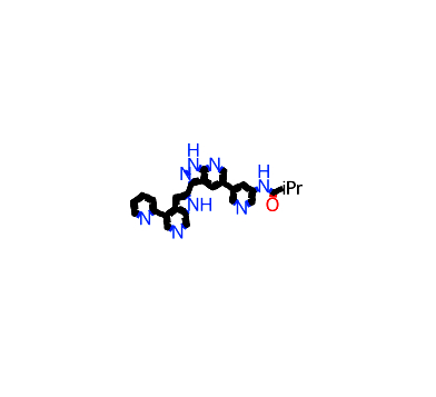 CC(C)C(=O)Nc1cncc(-c2cnc3[nH]nc(-c4cc5c(-c6ccccn6)cncc5[nH]4)c3c2)c1